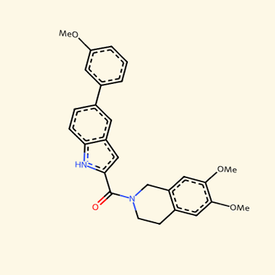 COc1cccc(-c2ccc3[nH]c(C(=O)N4CCc5cc(OC)c(OC)cc5C4)cc3c2)c1